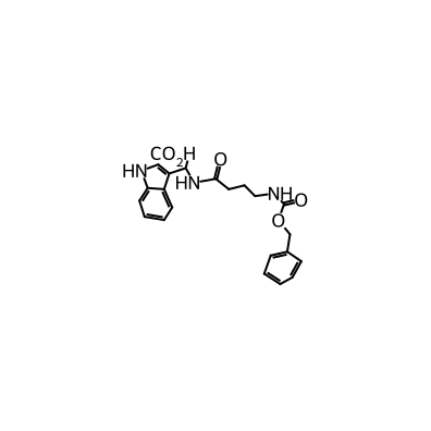 O=C(CCCNC(=O)OCc1ccccc1)NC(C(=O)O)c1c[nH]c2ccccc12